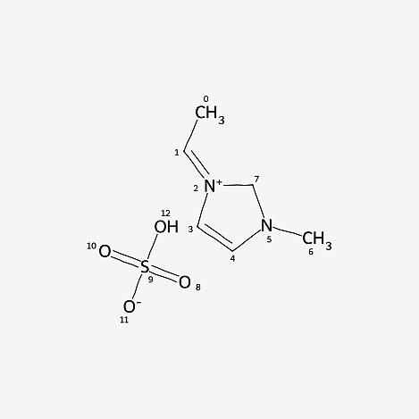 CC=[N+]1C=CN(C)C1.O=S(=O)([O-])O